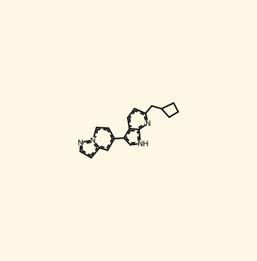 c1cc2cc(-c3c[nH]c4nc(CC5CCC5)ccc34)ccn2n1